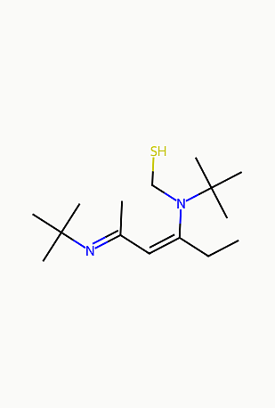 CC/C(=C/C(C)=N/C(C)(C)C)N(CS)C(C)(C)C